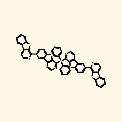 c1ccc([Si](c2ccccc2)(c2nccc3c2oc2ccc(-c4nccc5c4sc4ccccc45)cc23)c2nccc3c2sc2ccc(-c4nccc5c4sc4ccccc45)cc23)cc1